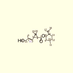 C/C(=C\C1C(C(=O)OC2CC(C)CCC2C(C)C)C1(C)C)CO